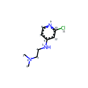 CN(C)CCNc1ccnc(Cl)c1